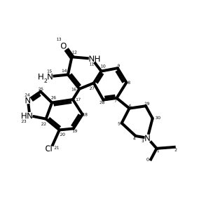 CC(C)N1CCC(c2ccc3[nH]c(=O)c(N)c(-c4ccc(Cl)c5[nH]ncc45)c3c2)CC1